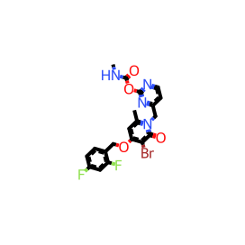 CNC(=O)Oc1nccc(Cn2c(C)cc(OCc3ccc(F)cc3F)c(Br)c2=O)n1